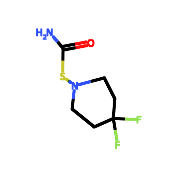 NC(=O)SN1CCC(F)(F)CC1